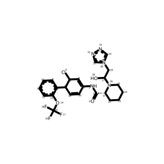 O=C(NC1=CC(Cl)C(c2ccccc2OC(F)(F)F)C=C1)[C@H]1CCCCN1C(O)Cn1cnnc1